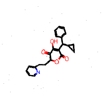 O=C1OC(CCc2ccccn2)C(=O)C(O)=C1C(c1ccccc1)C1CC1